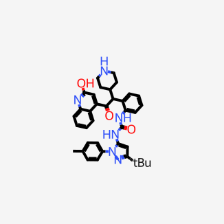 Cc1ccc(-n2nc(C(C)(C)C)cc2NC(=O)Nc2ccccc2C(C(=O)c2cc(O)nc3ccccc23)C2CCNCC2)cc1